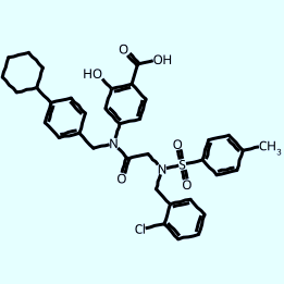 Cc1ccc(S(=O)(=O)N(CC(=O)N(Cc2ccc(C3CCCCC3)cc2)c2ccc(C(=O)O)c(O)c2)Cc2ccccc2Cl)cc1